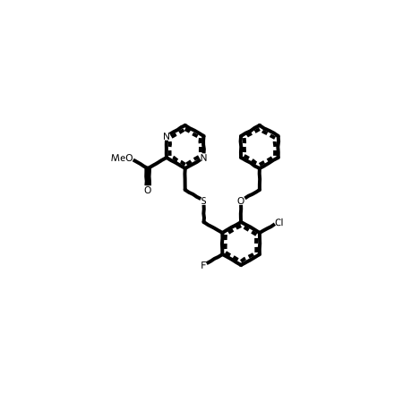 COC(=O)c1nccnc1CSCc1c(F)ccc(Cl)c1OCc1ccccc1